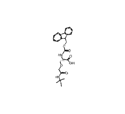 CC(C)(C)NC(=O)COC[C@H](NC(=O)OCC1c2ccccc2-c2ccccc21)C(=O)O